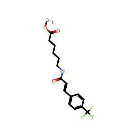 COC(=O)CCCCCNC(=O)/C=C/c1ccc(C(F)(F)F)cc1